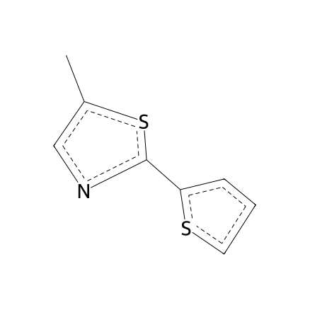 Cc1cnc(-c2cccs2)s1